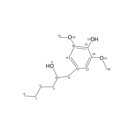 CCCCC(O)Cc1cc(OC)c(O)c(OC)c1